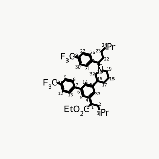 CCOC(=O)C(CC(C)C)c1cc(-c2ccc(C(F)(F)F)cc2)cc(C2CCCN(C(CCC(C)C)c3ccc(C(F)(F)F)cc3)C2)c1